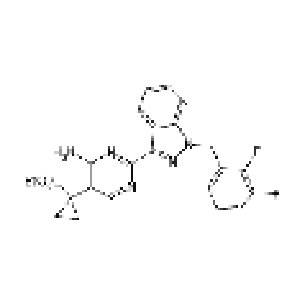 CCOC(=O)C1(c2cnc(-c3nn(Cc4cccc(F)c4F)c4ncccc34)nc2N)CC1